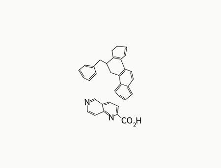 C1=CC2=C(CC1)C(Cc1ccccc1)Cc1c2ccc2ccccc12.O=C(O)c1ccc2cnccc2n1